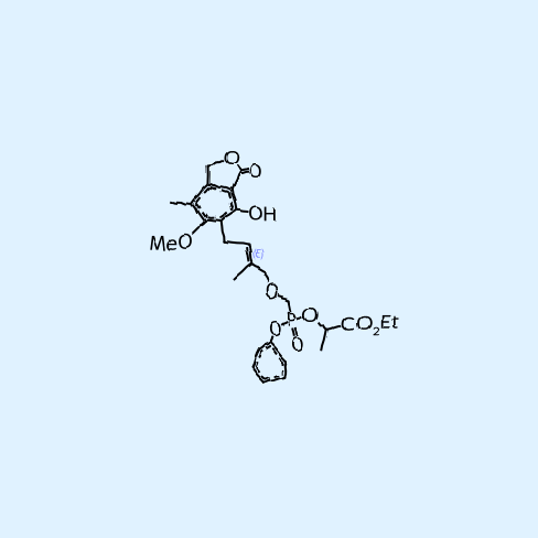 CCOC(=O)C(C)OP(=O)(COC/C(C)=C/Cc1c(O)c2c(c(C)c1OC)COC2=O)Oc1ccccc1